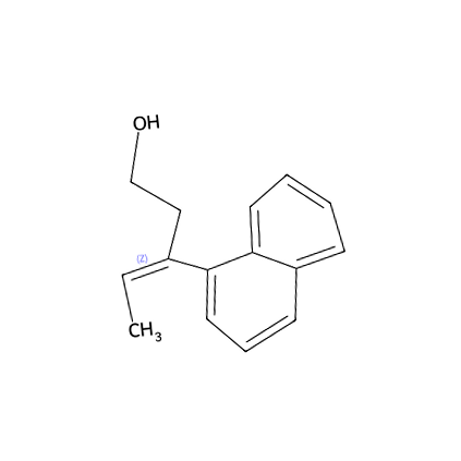 C/C=C(/CCO)c1cccc2ccccc12